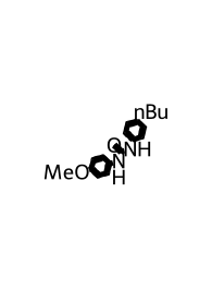 CCCCc1ccc(NC(=O)Nc2ccc(OC)cc2)cc1